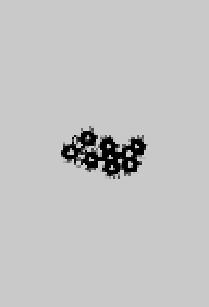 c1ccc2c(c1)Oc1cccc3c1B2c1cc(-c2c4ccccc4c(-c4cc5ccccc5c5ccccc45)c4ccccc24)ccc1O3